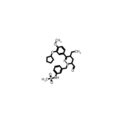 CCC1CC(C=O)N(Cc2cccc(NS(C)(=O)=O)c2)N=C1c1ccc(OC)c(OC2CCCC2)c1